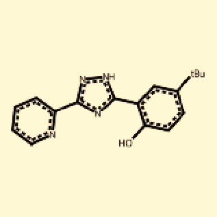 CC(C)(C)c1ccc(O)c(-c2nc(-c3ccccn3)n[nH]2)c1